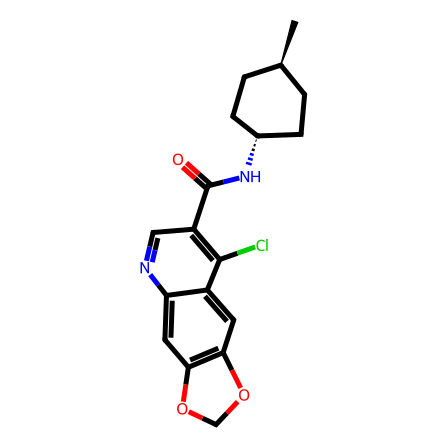 C[C@H]1CC[C@H](NC(=O)c2cnc3cc4c(cc3c2Cl)OCO4)CC1